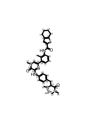 Cc1c(NC(=O)c2cc3c(s2)CCCC3)cccc1-c1cn(C)c(=O)c(Nc2ccc(CC(C(=O)N(C)C)N(C)C(C)C)cc2)n1